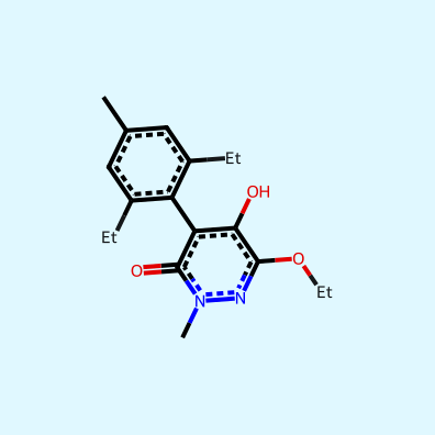 CCOc1nn(C)c(=O)c(-c2c(CC)cc(C)cc2CC)c1O